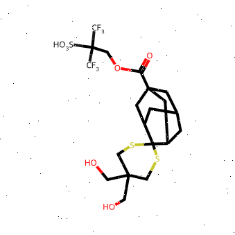 O=C(OCC(C(F)(F)F)(C(F)(F)F)S(=O)(=O)O)C12CC3CC(C1)C1(SCC(CO)(CO)CS1)C(C3)C2